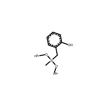 CCCO[Si](C)(Cc1ccccc1O)OCCC